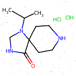 CC(C)N1CNC(=O)C12CCNCC2.Cl.Cl